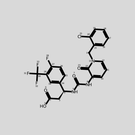 O=C(O)C[C@H](NC(=O)Nc1cccn(Cc2ccccc2Cl)c1=O)c1ccc(F)c(C(F)(F)F)c1